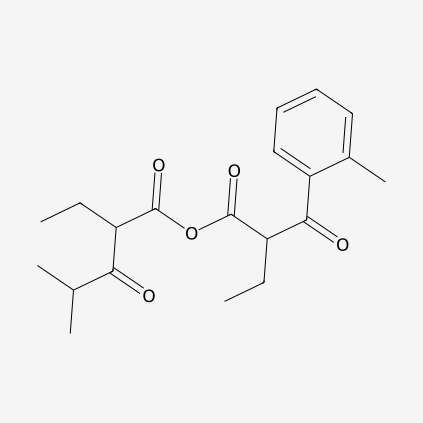 CCC(C(=O)OC(=O)C(CC)C(=O)C(C)C)C(=O)c1ccccc1C